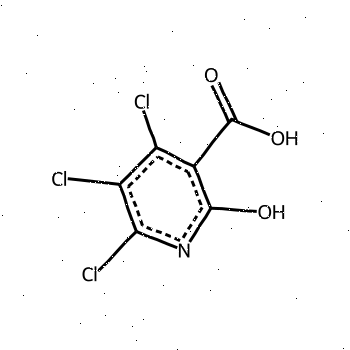 O=C(O)c1c(O)nc(Cl)c(Cl)c1Cl